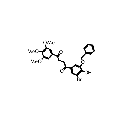 COc1cc(C(=O)CCC(=O)c2cc(Br)c(O)c(OCc3ccccc3)c2)cc(OC)c1OC